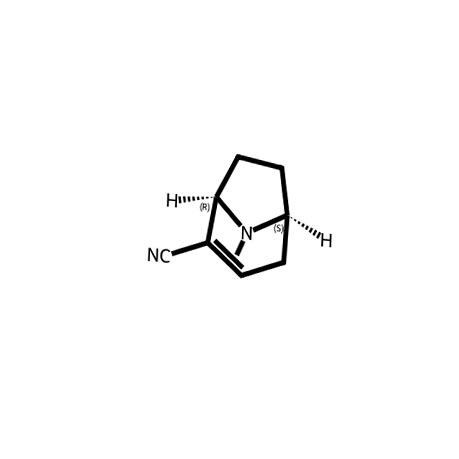 CN1[C@@H]2CC=C(C#N)[C@H]1CC2